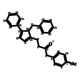 CC(=O)c1ccc(CC(=O)CCC2=CC=C(c3ccccc3)C2Cc2ccccc2)cc1